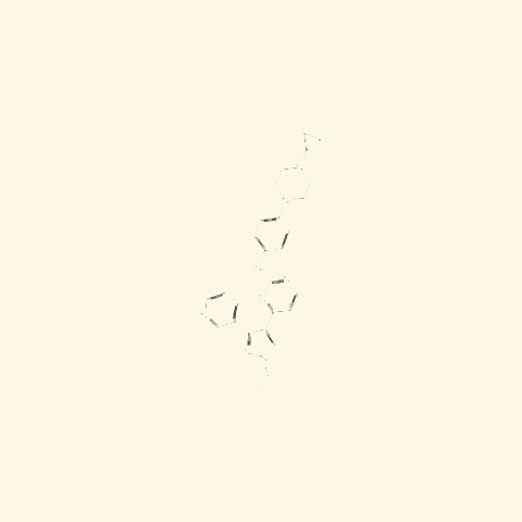 CCn1cc(-c2ccnc(Nc3ccc(N4CCN(C5CC5)CC4)cc3)n2)c(-c2cccnc2)n1